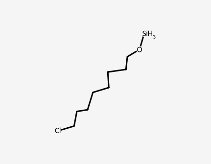 [SiH3]OCCCCCCCCCl